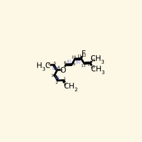 C=C/C=C\C(=C/C)O/C=C/C=C(/F)C=C(C)C